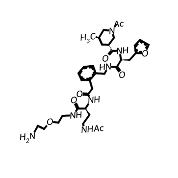 CC(=O)NCC[C@H](NC(=O)Cc1ccccc1CNC(=O)[C@H](Cc1ccco1)NC(=O)[C@@H]1C[C@@H](C)CN(C(C)=O)C1)C(=O)NCCOCCN